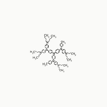 CCCCN(CCCC)c1ccc(N(c2ccc(C)cc2)c2ccc([N+](=C3C=CC(=[N+](c4ccc(C)cc4)c4ccc(N(CCCC)CCCC)cc4)C=C3)c3ccc(N(c4ccc(N(CCCC)CCCC)cc4)c4ccc(N(CCCC)CCCC)cc4)cc3)cc2)cc1